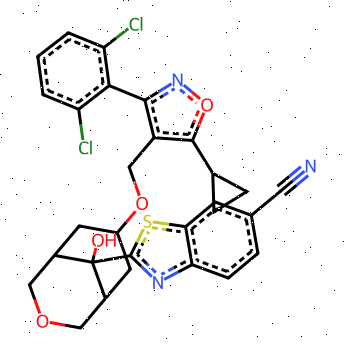 N#Cc1ccc2nc(C3(O)C4COCC3CC(OCc3c(-c5c(Cl)cccc5Cl)noc3C3CC3)C4)sc2c1